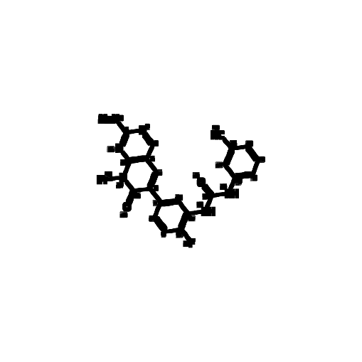 CNc1ncc2cc(-c3ccc(F)c(NC(=O)Nc4cccc(C#N)c4)c3)c(=O)n(C(C)C)c2n1